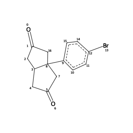 O=C1CC2CC(=O)CC2(c2ccc(Br)cc2)C1